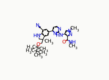 CNC(=O)c1nn(C)cc1Nc1nccc(-c2cc(C#N)c3c(c2)[C@@](C)(CO[Si](C)(C)C(C)(C)C)CN3)n1